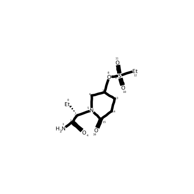 CC[C@@H](C(N)=O)N1CC(OS(=O)(=O)CC)CCC1=O